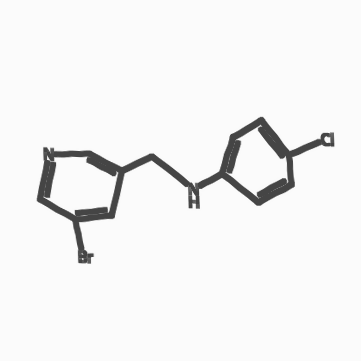 Clc1ccc(NCc2cncc(Br)c2)cc1